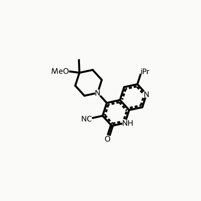 COC1(C)CCN(c2c(C#N)c(=O)[nH]c3cnc(C(C)C)cc23)CC1